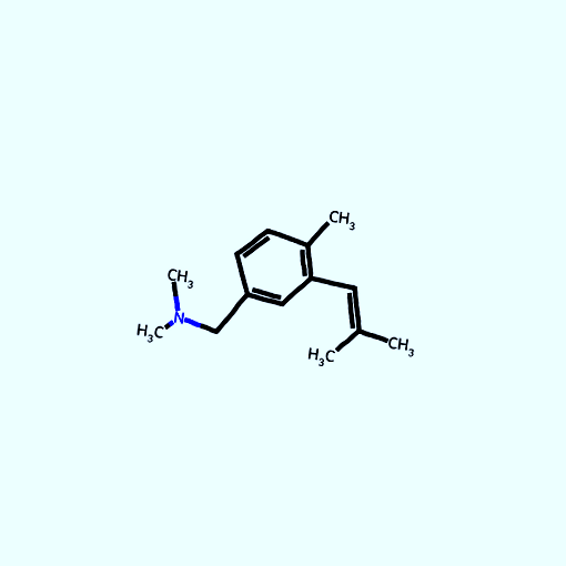 CC(C)=Cc1cc(CN(C)C)ccc1C